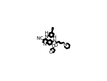 C#Cc1cccc(Nc2c(C#N)cnc3cc(O[C@H]4CCOC4)c(NC(=O)C=CCN4CCCCC4)cc23)c1